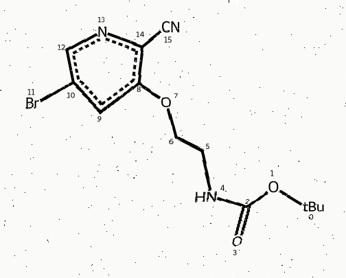 CC(C)(C)OC(=O)NCCOc1cc(Br)cnc1C#N